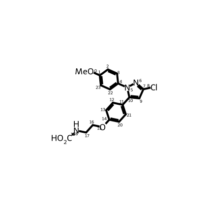 COc1ccc(-n2nc(Cl)cc2-c2ccc(OCCNC(=O)O)cc2)cc1